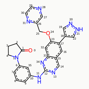 O=C1CCCN1c1cccc(Nc2ncc3cc(-c4cn[nH]c4)c(OCc4cnccn4)cc3n2)c1